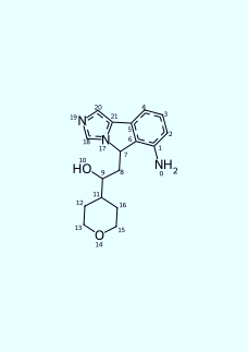 Nc1cccc2c1C(CC(O)C1CCOCC1)n1cncc1-2